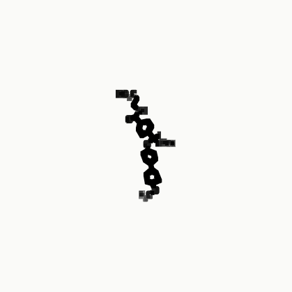 CCCCCCC(I)(Oc1ccc(-c2ccc(OC(F)(F)F)cc2)cc1)c1ccc(C(=O)NCCC(=O)O)cc1